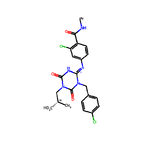 CC(C)NC(=O)c1ccc(/N=c2\[nH]c(=O)n(C[C@H](C)C(=O)O)c(=O)n2Cc2ccc(Cl)cc2)cc1Cl